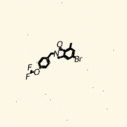 Cc1cc(Br)cc2c1C(=O)N(Cc1ccc(OC(F)F)cc1)C2